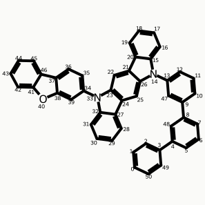 c1ccc(-c2cccc(-c3cccc(-n4c5ccccc5c5cc6c(cc54)c4ccccc4n6-c4ccc5c(c4)oc4ccccc45)c3)c2)cc1